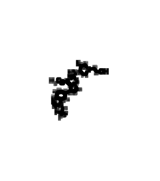 COc1nc(N[C@H]2CCN(CCO)C[C@H]2F)nn2ccc(-c3ccc4nnn(CC(F)(F)F)c4c3)c12